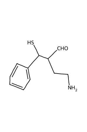 NCCC(C=O)C(S)c1ccccc1